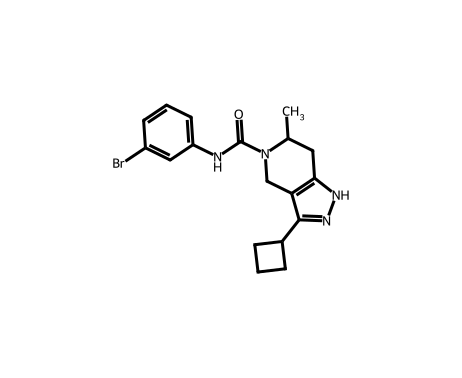 CC1Cc2[nH]nc(C3CCC3)c2CN1C(=O)Nc1cccc(Br)c1